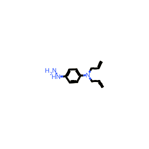 C=CCN(CC=C)c1ccc(NN)cc1